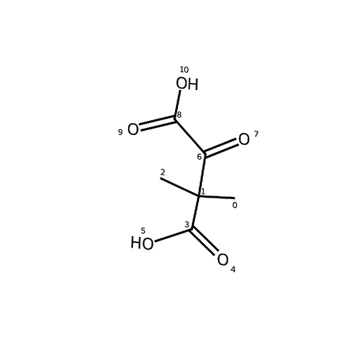 CC(C)(C(=O)O)C(=O)C(=O)O